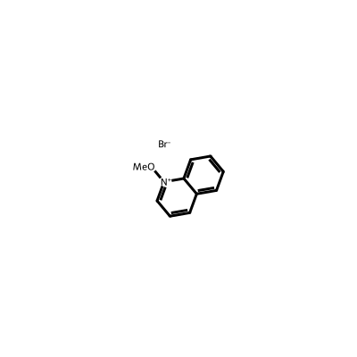 CO[n+]1cccc2ccccc21.[Br-]